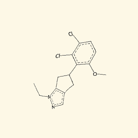 CCn1ncc2c1CC(c1c(OC)ccc(Cl)c1Cl)C2